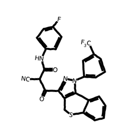 N#CC(C(=O)Nc1ccc(F)cc1)C(=O)c1nn(-c2cccc(C(F)(F)F)c2)c2c1CSc1ccccc1-2